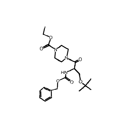 CCOC(=O)N1CCN(C(=O)C(COC(C)(C)C)NC(=O)OCc2ccccc2)CC1